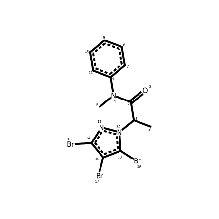 CC(C(=O)N(C)c1ccccc1)n1nc(Br)c(Br)c1Br